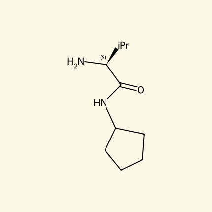 CC(C)[C@H](N)C(=O)NC1CCCC1